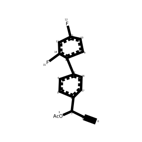 C#CC(OC(C)=O)c1ccc(-c2ccc(F)cc2F)cc1